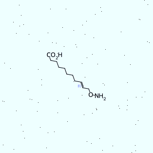 NOC/C=C/CCCCCCCC(=O)O